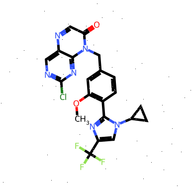 COc1cc(Cn2c(=O)cnc3cnc(Cl)nc32)ccc1-c1nc(C(F)(F)F)cn1C1CC1